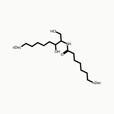 CCCCCCCCCCCCCCCCC(=O)NC(CO)C(O)CCCCCCCCCCCCCCC